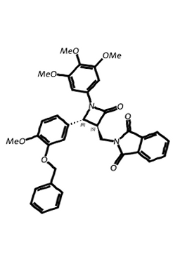 COc1ccc([C@H]2[C@H](CN3C(=O)c4ccccc4C3=O)C(=O)N2c2cc(OC)c(OC)c(OC)c2)cc1OCc1ccccc1